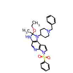 CCOC1(C)Nc2cnc3c(ccn3S(=O)(=O)c3ccccc3)c2N1C1CCN(Cc2ccccc2)CC1